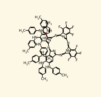 Cc1ccc(Nc2cc3c(c(Nc4ccc(C)cc4)c2Nc2ccc(C)cc2)-c2nc-3nc3[nH]c(nc4nc(nc5c6c(Nc7ccc(C)cc7)c(Nc7ccc(C)cc7)c(Nc7ccc(C)cc7)c(Nc7ccc(C)cc7)c6c(n2)n5Nc2ccc(C)cc2)-c2c(F)c(F)c(F)c(F)c2-4)c2c(F)c(F)c(F)c(F)c32)cc1